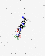 CC(C#N)=C1CCN(c2ccc(N3C[C@H](CNC(=O)C(Cl)Cl)OC3=O)cc2F)CC1